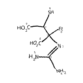 CCC(N=C(N)N)(C(=O)O)C(S)C(=O)O